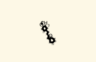 COc1ccc(C=Cc2cc3ccccc3o2)cc1